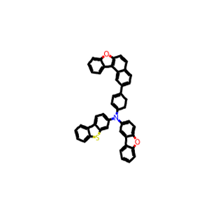 C1=C(c2ccc3ccc4oc5ccccc5c4c3c2)CCC(N(c2ccc3c(c2)sc2ccccc23)c2ccc3oc4ccccc4c3c2)=C1